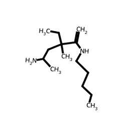 C=C(NCCCCC)C(C)(CC)CC(C)N